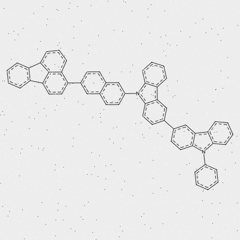 c1ccc(-n2c3ccccc3c3cc(-c4ccc5c(c4)c4ccccc4n5-c4ccc5cc(-c6ccc7c8c(cccc68)-c6ccccc6-7)ccc5c4)ccc32)cc1